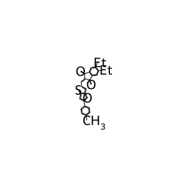 CCc1cc2c(cc1CC)C(=O)C(=Cc1cc3oc(-c4ccc(C)cc4)cc3s1)C2=O